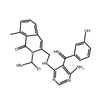 CCCCC(CC)n1c(CNc2ncnc(N)c2C(=N)c2cccc(O)c2)cc2cccc(C)c2c1=O